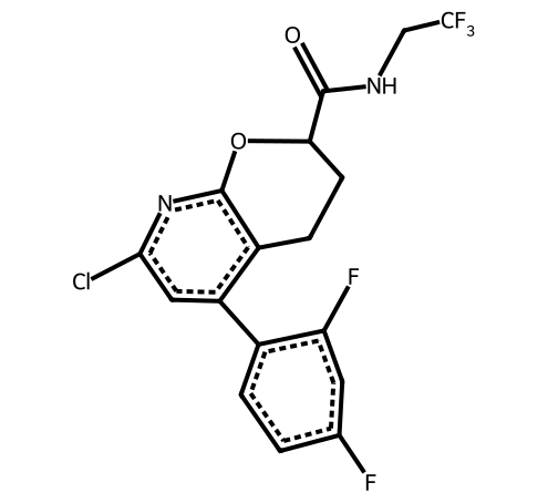 O=C(NCC(F)(F)F)C1CCc2c(-c3ccc(F)cc3F)cc(Cl)nc2O1